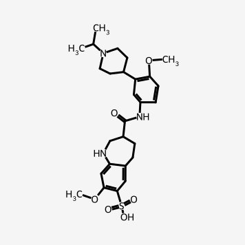 COc1ccc(NC(=O)C2CCc3cc(S(=O)(=O)O)c(OC)cc3NC2)cc1C1CCN(C(C)C)CC1